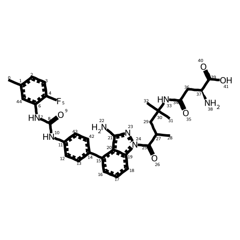 Cc1ccc(F)c(NC(=O)Nc2ccc(-c3cccc4c3c(N)nn4C(=O)C(C)CC(C)(C)NC(=O)C[C@H](N)C(=O)O)cc2)c1